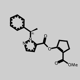 COC(=O)C1=C(OC(=O)c2ccnn2[C@H](C)c2ccccc2)CCC1